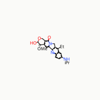 CCc1c2c(nc3ccc(NC(C)C)cc13)-c1cc3c(c(=O)n1C2)COC(O)[C@H]3OC